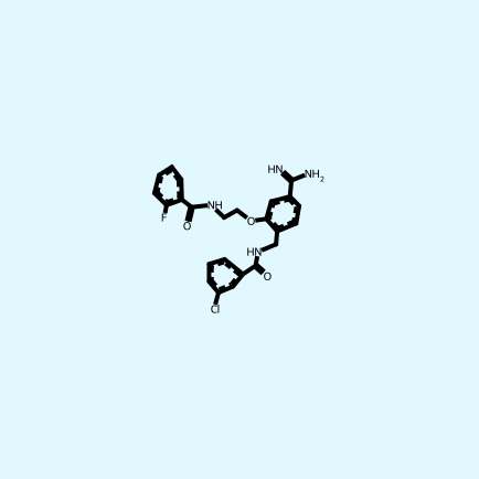 N=C(N)c1ccc(CNC(=O)c2cccc(Cl)c2)c(OCCNC(=O)c2ccccc2F)c1